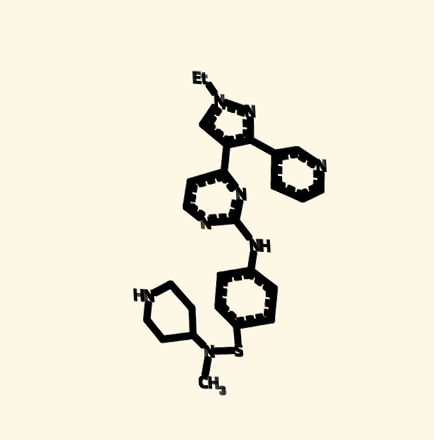 CCn1cc(-c2ccnc(Nc3ccc(SN(C)C4CCNCC4)cc3)n2)c(-c2cccnc2)n1